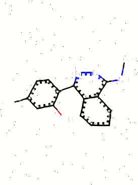 CCCCNc1nnc(-c2ccc(C(F)(F)F)cc2O)c2ccccc12